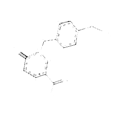 COC(=O)c1ccc(=O)n(Cc2ccc(CO)cc2)c1